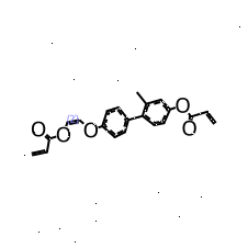 C=CC(=O)O/C=C\Oc1ccc(-c2ccc(OC(=O)C=C)cc2C)cc1